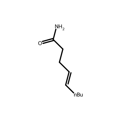 CCCC/C=C/CCC(N)=O